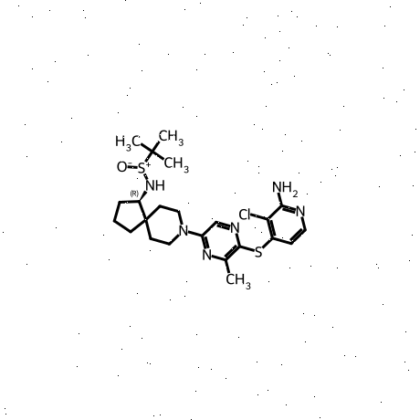 Cc1nc(N2CCC3(CCC[C@H]3N[S+]([O-])C(C)(C)C)CC2)cnc1Sc1ccnc(N)c1Cl